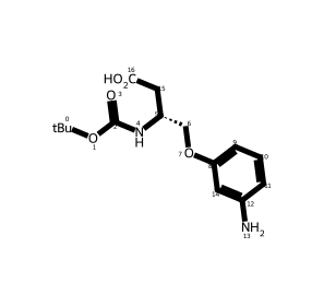 CC(C)(C)OC(=O)N[C@@H](COc1cccc(N)c1)CC(=O)O